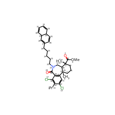 COC(=O)[C@]1(C)CCC[C@]2(C)c3cc(Cl)c(C(C)C)c(Cl)c3C(=O)N(CCCCCC3=CC4C=CC=CC4C=C3)CC12